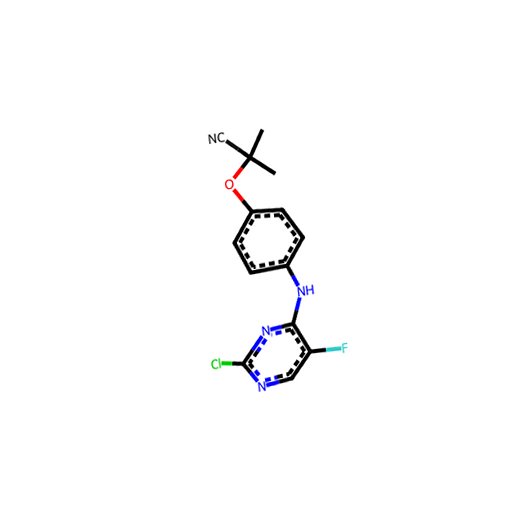 CC(C)(C#N)Oc1ccc(Nc2nc(Cl)ncc2F)cc1